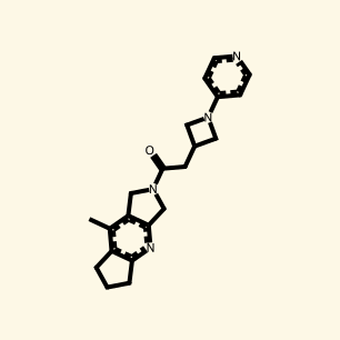 Cc1c2c(nc3c1CN(C(=O)CC1CN(c4ccncc4)C1)C3)CCC2